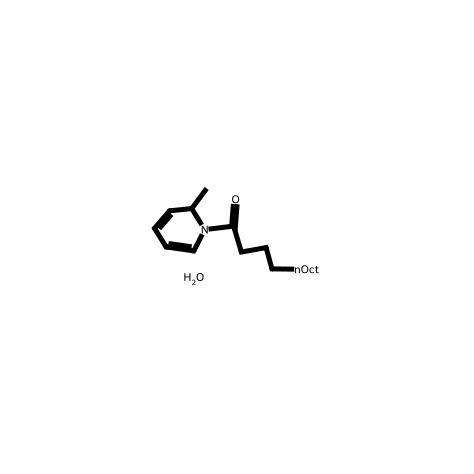 CCCCCCCCCCCC(=O)N1C=CC=CC1C.O